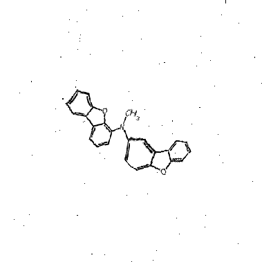 CN(c1ccc2oc3ccccc3c2c1)c1cccc2c1oc1ccccc12